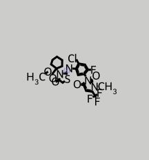 COC(=O)C1(N2C(=O)CS/C2=N\c2cc(-n3c(=O)cc(C(F)(F)F)n(C)c3=O)c(F)cc2Cl)CCCCC1